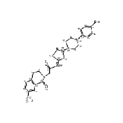 O=C(CN1CCc2ccc(C(F)(F)F)cc2C1=O)NC1CCN(C2CCN(c3ccc(F)cc3)CC2)C1